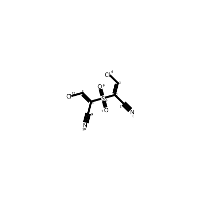 N#CC(=CCl)S(=O)(=O)C(C#N)=CCl